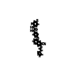 N#Cc1cc2c(Oc3ccc(NC(=O)Nc4ccc(F)cc4F)cc3)ccnc2cc1OCCn1ccnn1